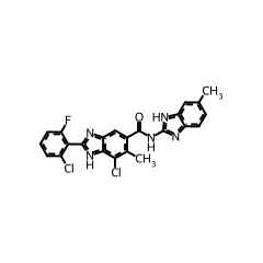 Cc1ccc2nc(NC(=O)c3cc4nc(-c5c(F)cccc5Cl)[nH]c4c(Cl)c3C)[nH]c2c1